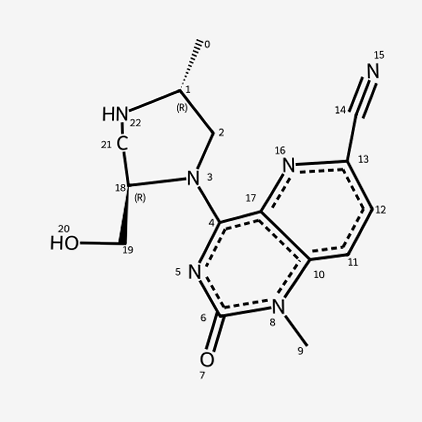 C[C@@H]1CN(c2nc(=O)n(C)c3ccc(C#N)nc23)[C@@H](CO)CN1